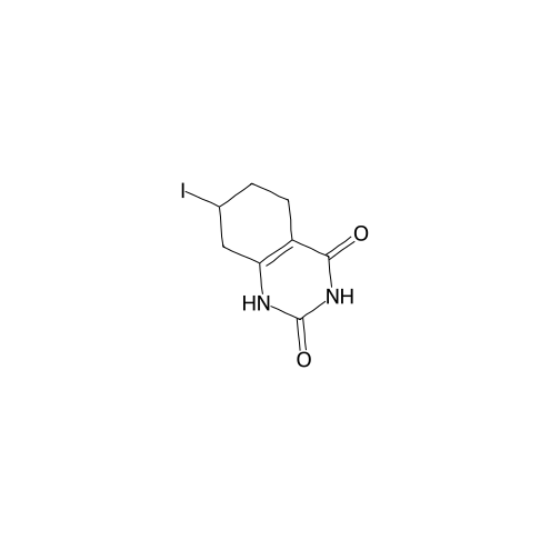 O=c1[nH]c2c(c(=O)[nH]1)CCC(I)C2